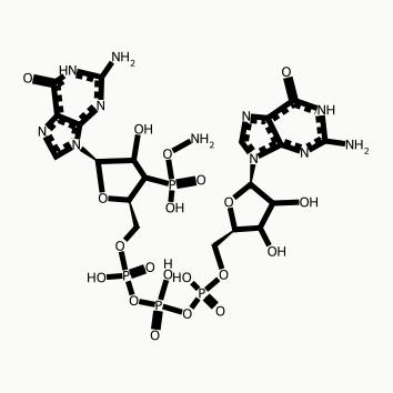 NOP(=O)(O)C1C(O)[C@H](n2cnc3c(=O)[nH]c(N)nc32)O[C@@H]1COP(=O)(O)OP(=O)(O)OP(=O)(O)OC[C@H]1O[C@@H](n2cnc3c(=O)[nH]c(N)nc32)C(O)C1O